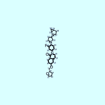 O=c1c2ccc(OC[C@H]3CCCO3)cc2ccn1-c1ccc(N2CCC(N3CCC4CC43)C2)c(F)c1